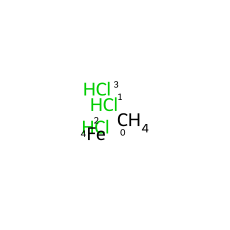 C.Cl.Cl.Cl.[Fe]